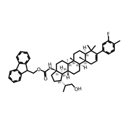 Cc1ccc(C2=CC[C@]3(C)[C@H]4CC[C@@H]5[C@H]6[C@H](C(C)CO)CC[C@]6(NC(=O)OCC6c7ccccc7-c7ccccc76)CC[C@@]5(C)[C@]4(C)CC[C@H]3C2(C)C)cc1F